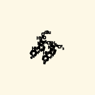 CN1CC[C@@H](Nc2nccn3c(SC(F)(F)F)c(N)nc23)[C@@H](F)C1.CN1CC[C@@H](Nc2nccn3c(SC(F)(F)F)c(NC(=O)OC(C)(C)C)nc23)[C@@H](F)C1